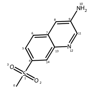 CS(=O)(=O)c1ccc2cc(N)cnc2c1